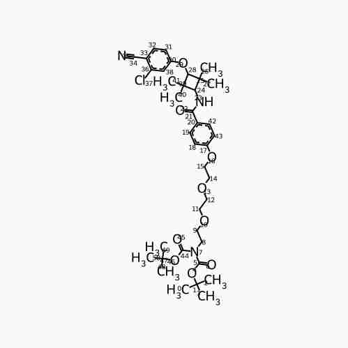 CC(C)(C)OC(=O)N(CCOCCOCCOc1ccc(C(=O)NC2C(C)(C)C(Oc3ccc(C#N)c(Cl)c3)C2(C)C)cc1)C(=O)OC(C)(C)C